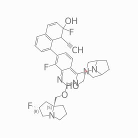 C#CC1c2c(cccc2-c2ccc3c(N4CC5CCC(C4)N5CCO)nc(OC[C@@]45CCCN4C[C@H](F)C5)nc3c2F)C=CC1(O)F